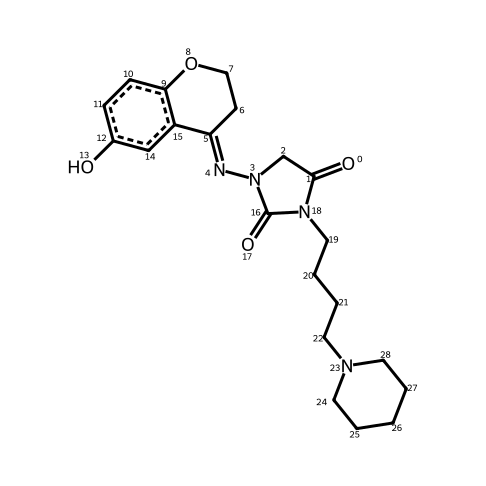 O=C1CN(/N=C2\CCOc3ccc(O)cc32)C(=O)N1CCCCN1CCCCC1